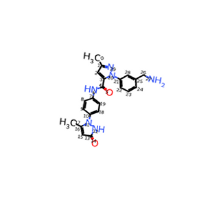 Cc1cc(C(=O)Nc2ccc(-n3[nH]c(=O)cc3C)cc2)n(-c2cccc(CN)c2)n1